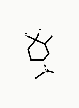 CC1C[C@H](N(C)C)CCC1(F)F